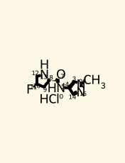 Cl.Cn1cc(NC(=O)[C@@H]2C[C@@H](F)CN2)cn1